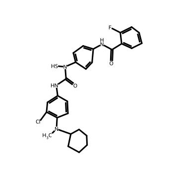 CN(c1ccc(NC(=O)N(S)c2ccc(NC(=O)c3ccccc3F)cc2)cc1Cl)C1CCCCC1